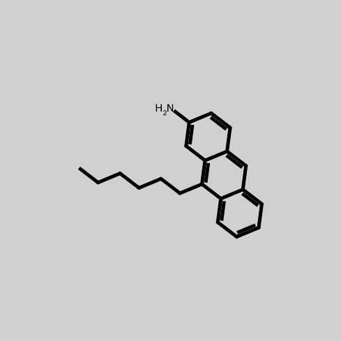 CCCCCCc1c2ccccc2cc2ccc(N)cc12